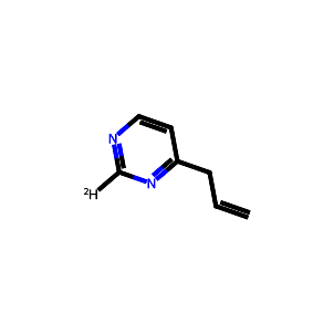 [2H]c1nccc(CC=C)n1